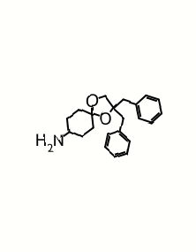 NC1CCC2(CC1)OCC(Cc1ccccc1)(Cc1ccccc1)O2